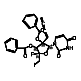 C=C=C=C[C@]1(OC(=O)c2ccccc2)[C@H](n2ccc(=O)[nH]c2=O)O[C@](F)(CI)[C@H]1OC(=O)c1ccccc1